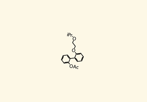 CC(=O)Oc1ccccc1-c1ccccc1OCCOC(C)C